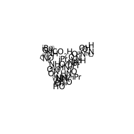 CC[C@H](C)[C@H](NC(=O)[C@@H]1CCCN1C(=O)CNC(=O)[C@@H]1CCCN1C(=O)[C@H](CC(C)C)NC(=O)[C@@H](NC(=O)[C@@H](NC(=O)[C@@H](NC(=O)[C@@H](NC(=O)[C@@H]1CCCN1C(=O)[C@H](CO)NC(=O)[C@@H]1CCCN1)C(C)C)C(C)C)C(C)C)[C@@H](C)O)C(=O)O